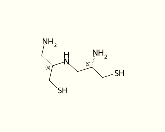 NC[C@@H](CS)NC[C@H](N)CS